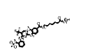 COc1cc(C(=O)NCCCCCCC(=O)NO)ccc1Nc1ncc(C(F)(F)F)c(Nc2ccccc2N(C)S(C)(=O)=O)n1